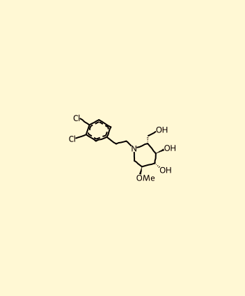 CO[C@H]1CN(CCc2ccc(Cl)c(Cl)c2)[C@H](CO)[C@@H](O)[C@@H]1O